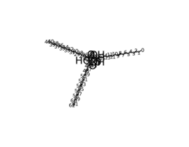 CCCCCCCCC=CCCCCCCCC(=O)C(O)C(O)(C(=O)CCCCCCCCCCCCCCCCC)C(O)C(=O)CCCCCCCC=CCCCCCCCC